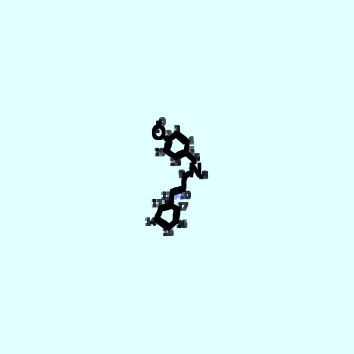 COc1ccc(CN(C)C/C=C/c2ccccc2)cc1